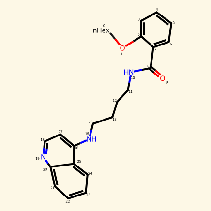 CCCCCCOc1ccccc1C(=O)NCCCCNc1ccnc2ccccc12